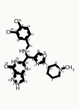 CN1CCC[C@H](c2nc(C(NCc3ccc(Cl)c(Cl)c3)c3nc4c[nH]nc4c(=O)[nH]3)co2)C1